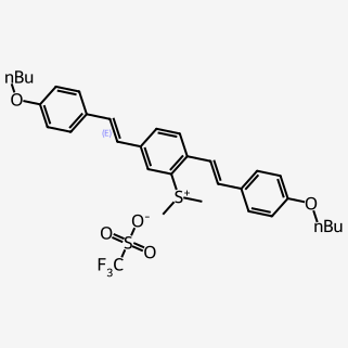 CCCCOc1ccc(C=Cc2ccc(/C=C/c3ccc(OCCCC)cc3)cc2[S+](C)C)cc1.O=S(=O)([O-])C(F)(F)F